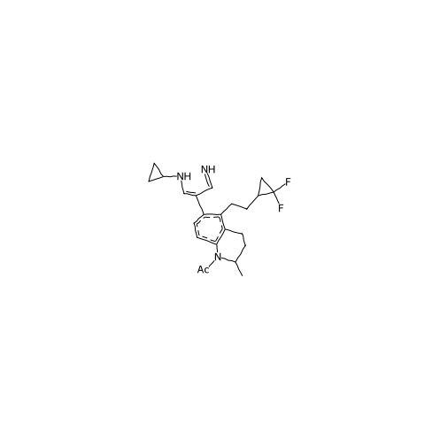 CC(=O)N1c2ccc(/C(C=N)=C/NC3CC3)c(CCC3CC3(F)F)c2CCC1C